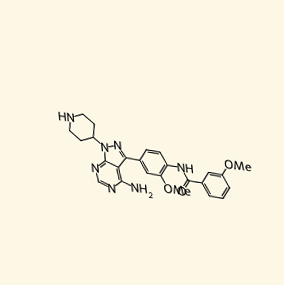 COc1cccc(C(=O)Nc2ccc(-c3nn(C4CCNCC4)c4ncnc(N)c34)cc2OC)c1